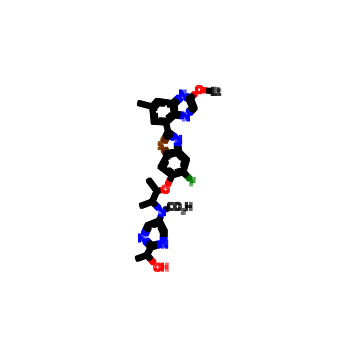 CCOc1cnc2c(-c3nc4cc(F)c(OC(C)C(C)N(C(=O)O)c5cnc(C(C)O)nc5)cc4s3)cc(C)cc2n1